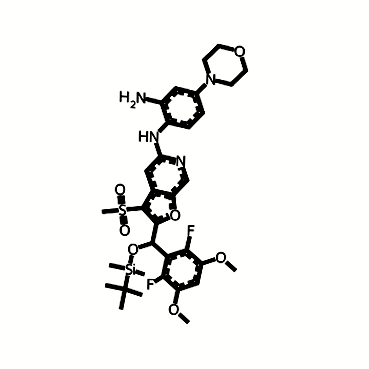 COc1cc(OC)c(F)c(C(O[Si](C)(C)C(C)(C)C)c2oc3cnc(Nc4ccc(N5CCOCC5)cc4N)cc3c2S(C)(=O)=O)c1F